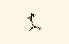 c1ccc(-c2ccc(C(c3ccc(-c4ccc(-c5ccc(N(c6ccccc6)c6ccc(-n7c8ccccc8c8ccccc87)cc6)cc5)cc4)cc3)c3ccc(-c4ccc(C56CC7CC(CC(C7)C5)C6)cc4)cc3)cc2)cc1